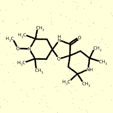 CON1C(C)(C)CC2(CC1(C)C)NC(=O)C1(CC(C)(C)NC(C)(C)C1)O2